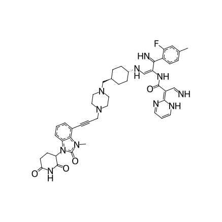 Cc1ccc(C(=N)/C(=C\N[C@H]2CC[C@H](CN3CCN(CC#Cc4cccc5c4n(C)c(=O)n5C4CCC(=O)NC4=O)CC3)CC2)NC(=O)/C(C=N)=C2\N=CC=CN2)c(F)c1